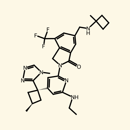 CCNc1cc([C@]2(c3nncn3C)C[C@@H](C)C2)cc(N2Cc3c(cc(CNC4(C)CCC4)cc3C(F)(F)F)C2=O)n1